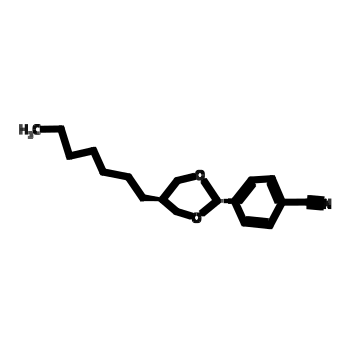 CCCCCCC[C@H]1CO[C@H](c2ccc(C#N)cc2)OC1